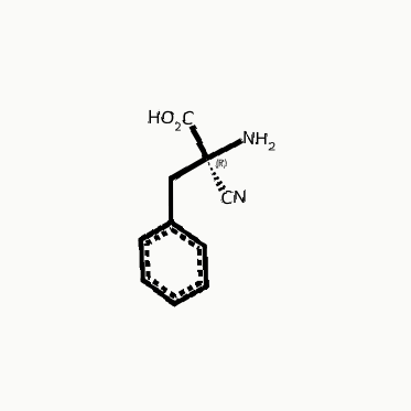 N#C[C@](N)(Cc1ccccc1)C(=O)O